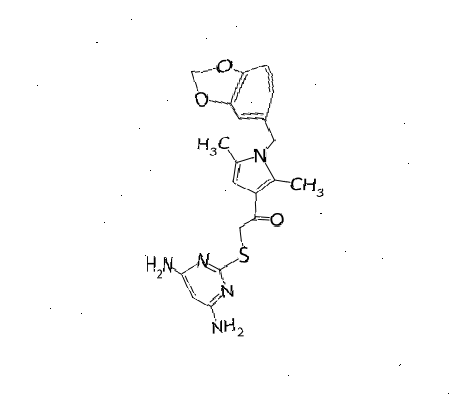 Cc1cc(C(=O)CSc2nc(N)cc(N)n2)c(C)n1Cc1ccc2c(c1)OCO2